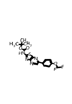 CC(C)(C)OC(=O)Nc1nc2ncc(-c3ccc(OC(F)F)cc3)nc2s1